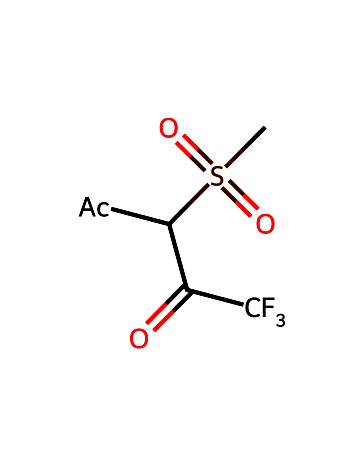 CC(=O)C(C(=O)C(F)(F)F)S(C)(=O)=O